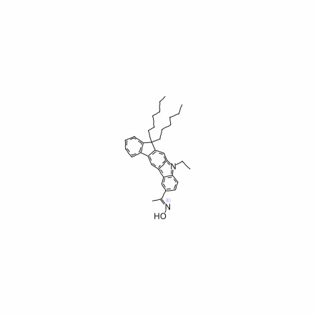 CCCCCCC1(CCCCCC)c2ccccc2-c2cc3c4cc(/C(C)=N/O)ccc4n(CC)c3cc21